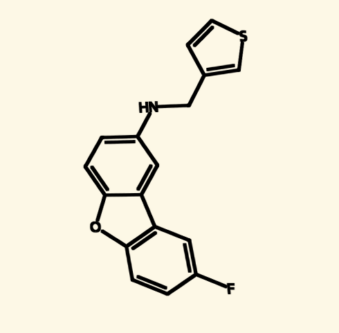 Fc1ccc2oc3ccc(NCc4ccsc4)cc3c2c1